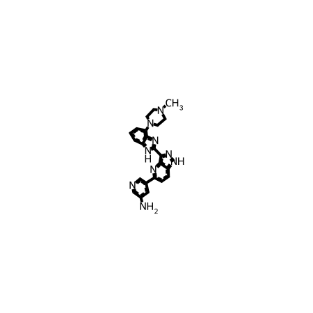 CN1CCN(c2cccc3[nH]c(-c4n[nH]c5ccc(-c6cncc(N)c6)nc45)nc23)CC1